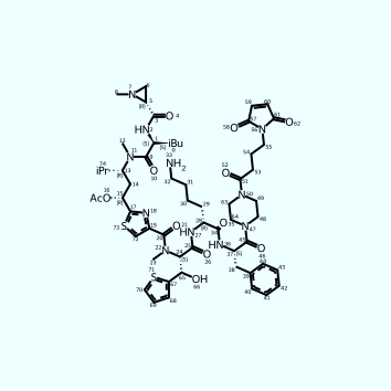 CC[C@H](C)[C@H](NC(=O)[C@H]1CN1C)C(=O)N(C)[C@H](C[C@@H](OC(C)=O)c1nc(C(=O)N(C)[C@H](C(=O)N[C@H](CCCCN)C(=O)N[C@@H](Cc2ccccc2)C(=O)N2CCN(C(=O)CCCN3C(=O)C=CC3=O)CC2)C(O)c2cccs2)cs1)C(C)C